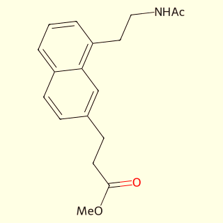 COC(=O)CCc1ccc2cccc(CCNC(C)=O)c2c1